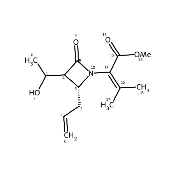 C=CC[C@@H]1C(C(C)O)C(=O)N1C(C(=O)OC)=C(C)C